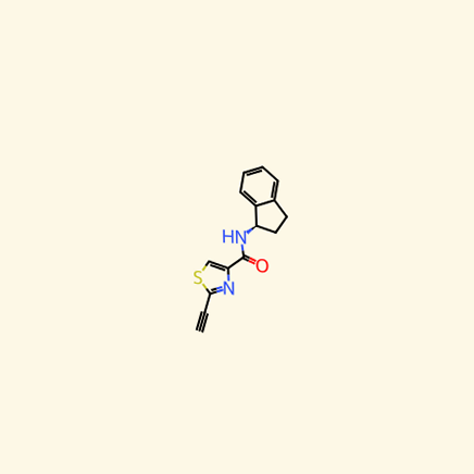 C#Cc1nc(C(=O)N[C@@H]2CCc3ccccc32)cs1